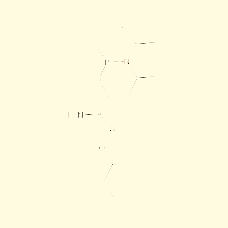 CCCOCC(N)COP(C)N(C(C)C)C(C)C